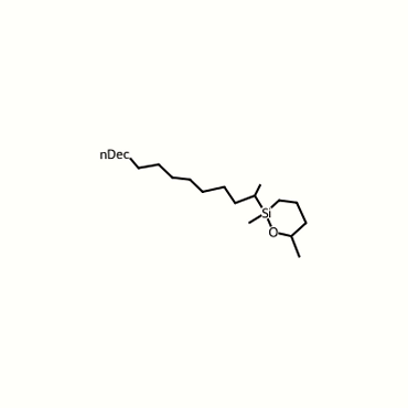 CCCCCCCCCCCCCCCCCC(C)[Si]1(C)CCCC(C)O1